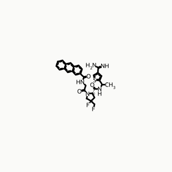 CC(NC(=O)[C@@H]1C[C@](F)(CF)CN1C(=O)CNC(=O)c1ccc2cc3ccccc3cc2c1)c1cc(C(=N)N)cs1